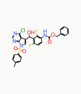 Cc1ccc(S(=O)(=O)n2cc(C(O)c3c(F)ccc(NC(=O)OCc4ccccc4)c3F)c3c(Cl)ncnc32)cc1